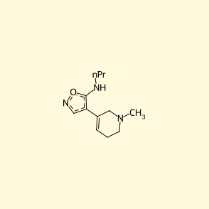 CCCNc1oncc1C1=CCCN(C)C1